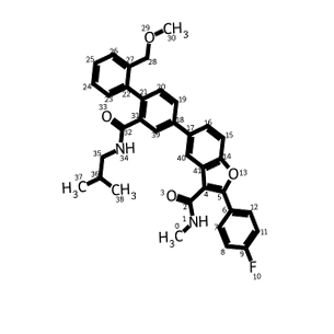 CNC(=O)c1c(-c2ccc(F)cc2)oc2ccc(-c3ccc(-c4ccccc4COC)c(C(=O)NCC(C)C)c3)cc12